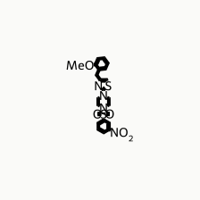 COc1ccccc1Cc1csc(N2CCN(S(=O)(=O)c3cccc([N+](=O)[O-])c3)CC2)n1